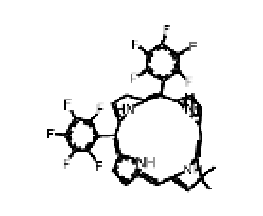 CC1(C)C=C2C=c3ccc([nH]3)=C(c3c(F)c(F)c(F)c(F)c3F)C3=CCC(=C(c4c(F)c(F)c(F)c(F)c4F)c4ccc([nH]4)C=C1N2)N3